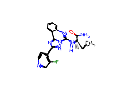 CC[C@@H](Nc1nc2ccccc2c2nc(-c3ccncc3F)nn12)C(N)=O